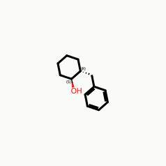 O[C@H]1CCCC[C@@H]1Cc1ccccc1